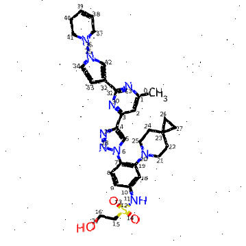 Cc1cc(-c2cn(-c3ccc(NS(=O)(=O)CCO)cc3N3CCC4(CC3)CC4)nn2)nc(-c2ccn(N3CC=CCC3)c2)n1